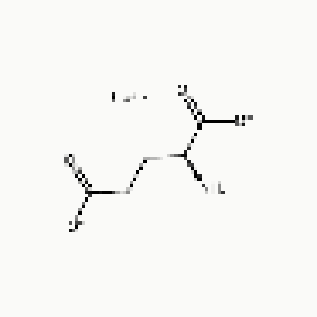 N[C@@H](CCC(=O)[O-])C(=O)[O-].[Co+2]